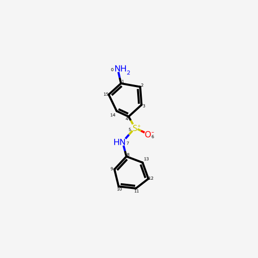 Nc1ccc([S+]([O-])Nc2ccccc2)cc1